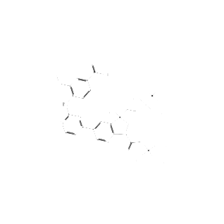 COc1cc(C(=O)O)ccc1Nc1nccc(-c2cnc3c(c2)C(C)(CO[Si](C)(C)C(C)(C)C)CN3C(=O)OC(C)(C)C)n1